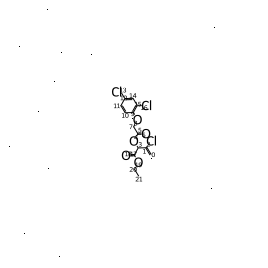 C=C(Cl)C(OC(=O)COc1ccc(Cl)cc1Cl)C(=O)OCC